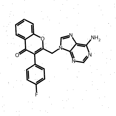 Nc1ncnc2c1ncn2Cc1oc2ccccc2c(=O)c1-c1ccc(F)cc1